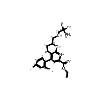 CCOC(=O)c1cc(-c2ccc(F)cc2F)c2c(n1)OC(CNCC(F)(F)P)CC2